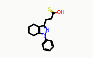 OC(=S)CCc1nn(-c2ccccc2)c2c1CCCC2